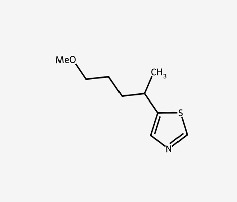 [CH2]OCCCC(C)c1cncs1